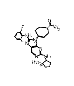 NC(=O)[C@H]1CC[C@@H](n2c(Nc3c(F)cccc3F)nc3cnc(NC4CCC[C@H]4O)nc32)CC1